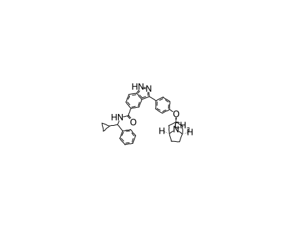 CN1[C@@H]2CC[C@H]1C[C@@H](Oc1ccc(-c3n[nH]c4ccc(C(=O)NC(c5ccccc5)C5CC5)cc34)cc1)C2